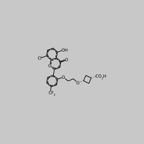 O=c1cc(-c2ccc(C(F)(F)F)cc2OCCO[C@H]2C[C@@H](C(=O)O)C2)oc2c(Cl)ccc(O)c12